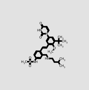 COc1c(/C=C/c2ccc(NS(C)(=O)=O)cc2CNCCC(C)C)cc(-n2ccc(=O)[nH]c2=O)cc1C(C)(C)C